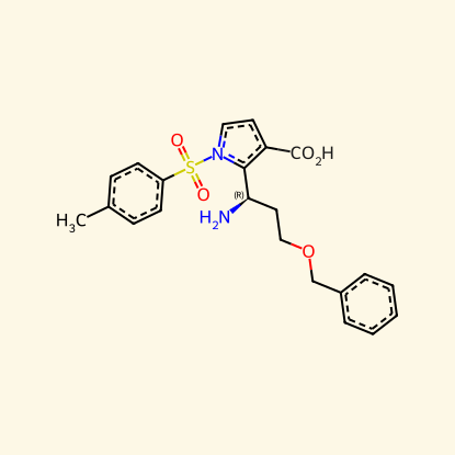 Cc1ccc(S(=O)(=O)n2ccc(C(=O)O)c2[C@H](N)CCOCc2ccccc2)cc1